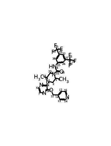 CC1CN(c2nccnc2OCc2ccncc2)C(C)CN1C(=O)Nc1cc(C(F)(F)F)cc(C(F)(F)F)c1